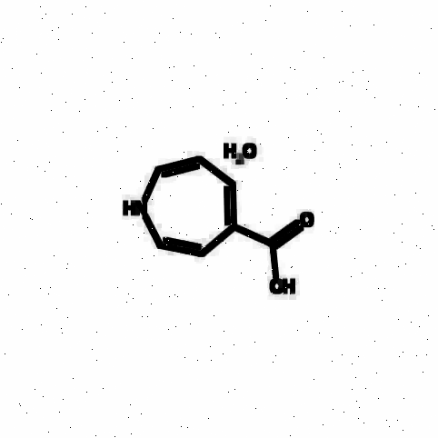 O.O=C(O)C1=CC=CNC=C1